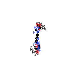 COC(=O)N[C@H](C(=O)N1CCC[C@H]1c1ncc(-c2ccc(-c3ccc(-c4ccc5[nH]c([C@@H]6CCCN6C(=O)[C@@H](NC(=O)OC)C(C)C)nc5c4)nc3)cc2)[nH]1)C(C)C